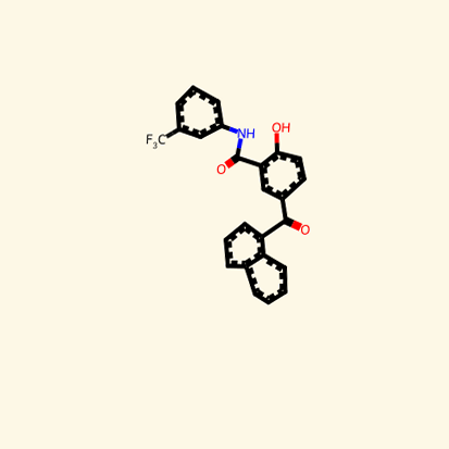 O=C(Nc1cccc(C(F)(F)F)c1)c1cc(C(=O)c2cccc3ccccc23)ccc1O